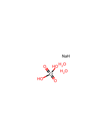 O.O.[NaH].[O]=[Cr](=[O])([OH])[OH]